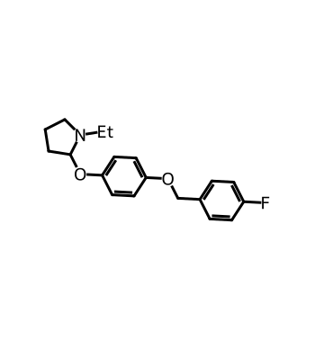 CCN1CCCC1Oc1ccc(OCc2ccc(F)cc2)cc1